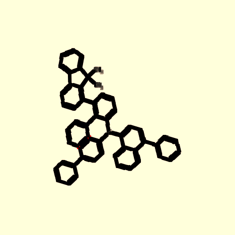 CC1(C)c2ccccc2-c2cccc(-c3cccc(N(c4ccc(-c5ccccc5)cc4)c4ccc(-c5ccccc5)c5ccccc45)c3-c3ccccc3)c21